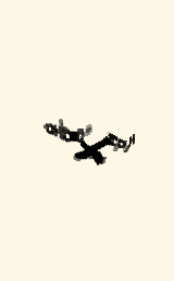 CC(C)(O[C]=O)C(=O)O